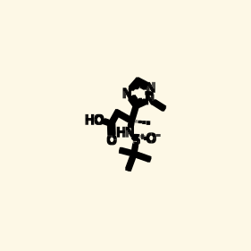 Cn1ncnc1[C@](C)(CC(=O)O)N[S@+]([O-])C(C)(C)C